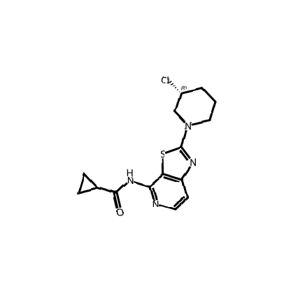 O=C(Nc1nccc2nc(N3CCC[C@@H](Cl)C3)sc12)C1CC1